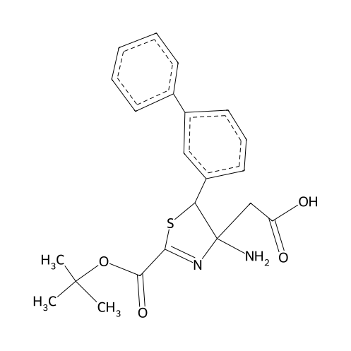 CC(C)(C)OC(=O)C1=NC(N)(CC(=O)O)C(c2cccc(-c3ccccc3)c2)S1